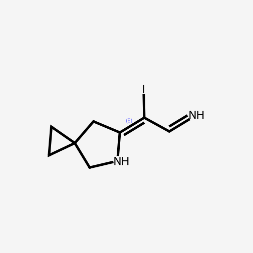 N=C/C(I)=C1/CC2(CC2)CN1